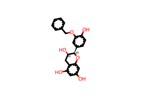 Oc1cc(O)c2c(c1)O[C@H](c1ccc(O)c(OCc3ccccc3)c1)[C@H](O)C2